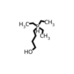 CC[PH](CC)(CC)CCCCO